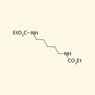 CCOC(=O)NCCCCCNC(=O)OCC